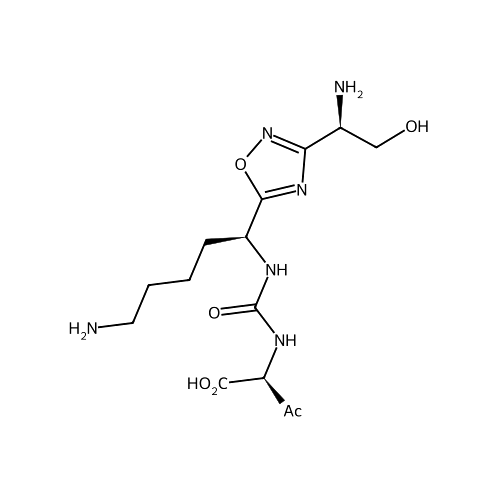 CC(=O)[C@H](NC(=O)N[C@@H](CCCCN)c1nc([C@@H](N)CO)no1)C(=O)O